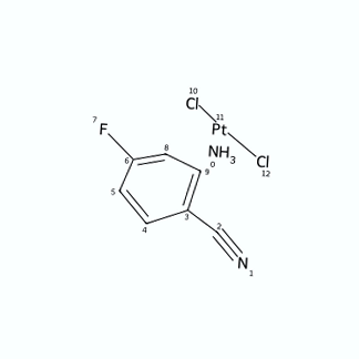 N.N#Cc1ccc(F)cc1.[Cl][Pt][Cl]